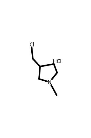 CN1CCC(CCl)C1.Cl